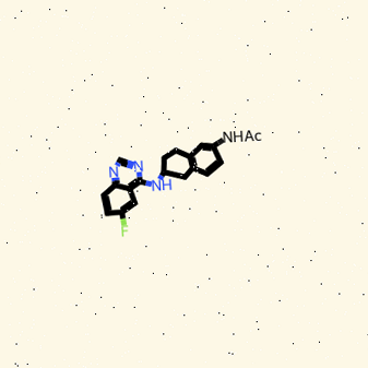 CC(=O)Nc1ccc2c(c1)CCC(Nc1ncnc3ccc(F)cc13)C2